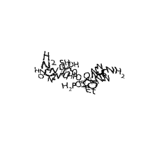 CC[C@]1(COP)O[C@@H](n2cnc3c(N)ncnc32)[C@H](OC)[C@@H]1COPOC1O[C@@H](n2cnc3c(=O)[nH]c(N)nc32)[C@@H](OS)[C@@H]1O